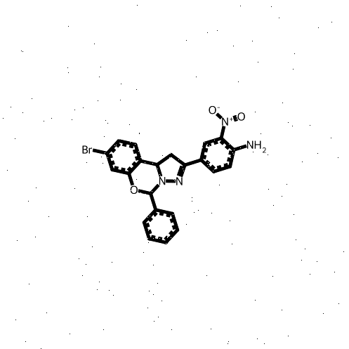 Nc1ccc(C2=NN3C(C2)c2ccc(Br)cc2OC3c2ccccc2)cc1[N+](=O)[O-]